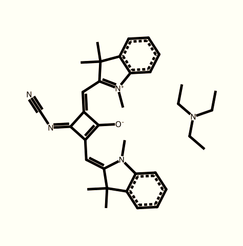 CCN(CC)CC.CN1C(=CC2=C([O-])C(=CC3=[N+](C)c4ccccc4C3(C)C)C2=NC#N)C(C)(C)c2ccccc21